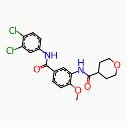 COc1ccc(C(=O)Nc2ccc(Cl)c(Cl)c2)cc1NC(=O)C1CCOCC1